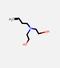 C=CCCN(CCO)CCO